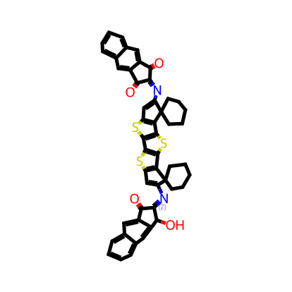 O=C1/C(=N\C2=Cc3sc4c(sc5c6c(sc54)C=C(N=c4c(=O)c5cc7ccccc7cc5c4=O)C64CCCCC4)c3C23CCCCC3)C(O)c2cc3ccccc3cc21